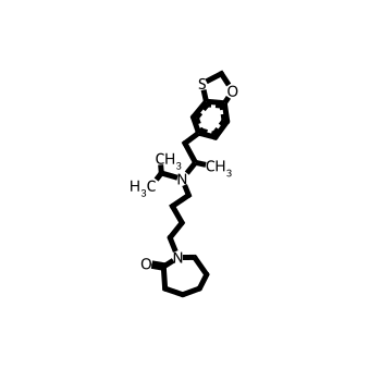 CC(C)N(CCCCN1CCCCCC1=O)C(C)Cc1ccc2c(c1)SCO2